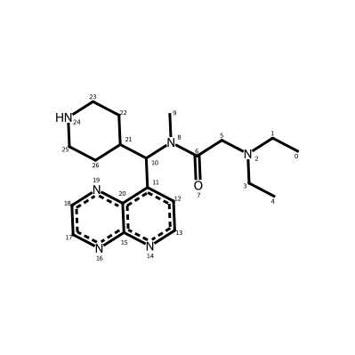 CCN(CC)CC(=O)N(C)C(c1ccnc2nccnc12)C1CCNCC1